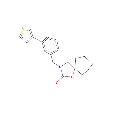 O=C1OC2(CCCCC2)CN1Cc1cccc(-c2ccsc2)c1